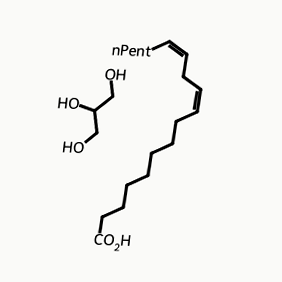 CCCCC/C=C\C/C=C\CCCCCCCC(=O)O.OCC(O)CO